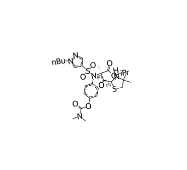 CCCCn1cc(S(=O)(=O)N(c2ccc(OC(=O)N(C)C)cc2)[C@@](C)(C(=O)OC(C)C)C(=O)[C@H]2NC(C)(C)CS2)cn1